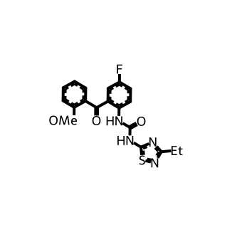 CCc1nsc(NC(=O)Nc2ccc(F)cc2C(=O)c2ccccc2OC)n1